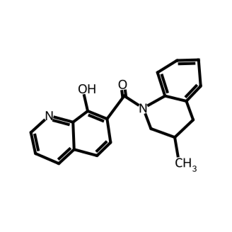 CC1Cc2ccccc2N(C(=O)c2ccc3cccnc3c2O)C1